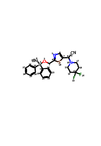 CC(C)(C)[Si](OCc1ncc(C(C#N)N2CCC(F)(F)CC2)s1)(c1ccccc1)c1ccccc1